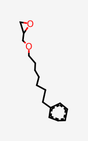 c1ccc(CCCCCCCOCC2CO2)cc1